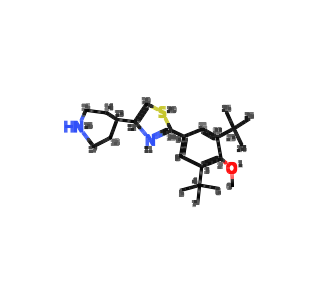 COc1c(C(C)(C)C)cc(-c2nc(C3CCNCC3)cs2)cc1C(C)(C)C